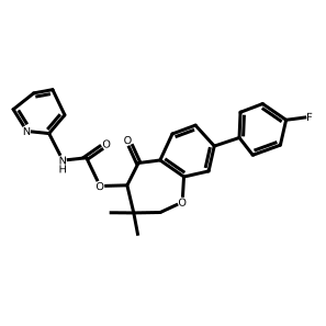 CC1(C)COc2cc(-c3ccc(F)cc3)ccc2C(=O)C1OC(=O)Nc1ccccn1